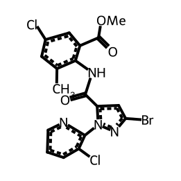 COC(=O)c1cc(Cl)cc(C)c1NC(=O)c1cc(Br)nn1-c1ncccc1Cl